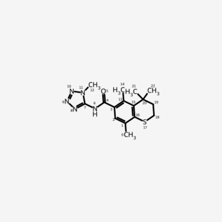 Cc1cc(C(=O)Nc2nnnn2C)c(C)c2c1SCCC2(C)C